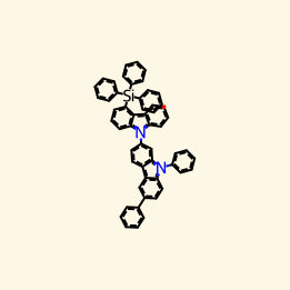 c1ccc(-c2ccc3c(c2)c2ccc(-n4c5ccccc5c5c([Si](c6ccccc6)(c6ccccc6)c6ccccc6)cccc54)cc2n3-c2ccccc2)cc1